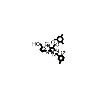 [C-]#[N+]C1=C(C(=O)OC2C(C)CC(C)CC2C)c2nc(-c3cc(C)ccc3OC)nn2/C1=N/c1ccc(CO)s1